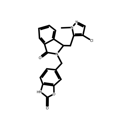 Cn1ncc(Cl)c1CC1c2ccccc2C(=O)N1Cc1ccc2[nH]c(=O)oc2c1